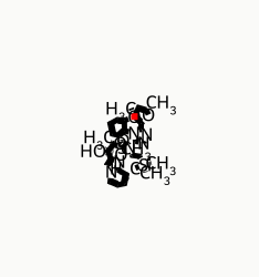 COc1cccc(OC)c1-n1c(-c2ccc(C)o2)nnc1N(CC[Si](C)(C)C)S(=O)(=O)[C@@H](C)[C@H](O)c1cn2ccccc2n1